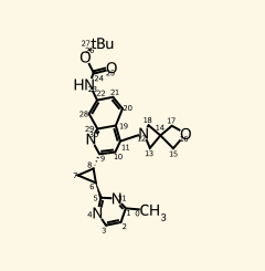 Cc1ccnc([C@H]2C[C@@H]2c2cc(N3CC4(COC4)C3)c3ccc(NC(=O)OC(C)(C)C)cc3n2)n1